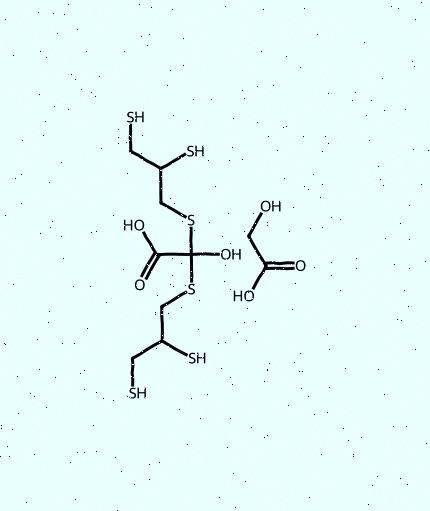 O=C(O)C(O)(SCC(S)CS)SCC(S)CS.O=C(O)CO